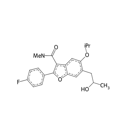 CNC(=O)c1c(-c2ccc(F)cc2)oc2cc(CC(C)O)c(OC(C)C)cc12